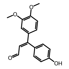 COc1ccc(C(=CC=O)c2ccc(O)cc2)cc1OC